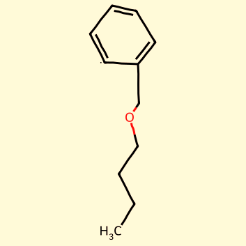 CCCCOCc1[c]cccc1